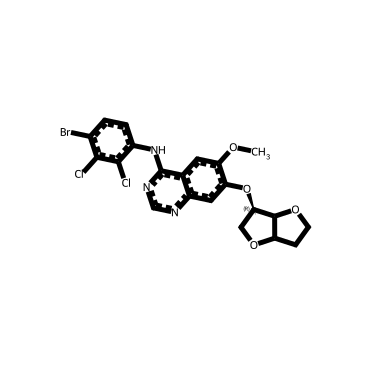 COc1cc2c(Nc3ccc(Br)c(Cl)c3Cl)ncnc2cc1O[C@@H]1COC2CCOC21